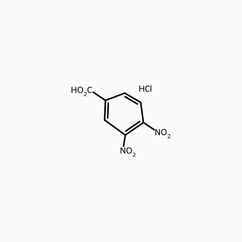 Cl.O=C(O)c1ccc([N+](=O)[O-])c([N+](=O)[O-])c1